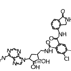 Nc1ncnc2c1ncn2C1CC(CNC(=O)c2cc(Cl)c(Cl)cc2C(=O)Nc2cccc3c2CNC3=O)[C@@H](O)[C@H]1O